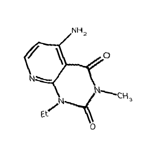 CCn1c(=O)n(C)c(=O)c2c(N)ccnc21